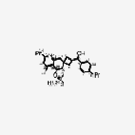 CC(C)c1ccc(C(O)C2CC3(Cc4nc(C(C)C)cc(I)c4[C@H](O[Si](C)(C)C(C)(C)C)C3)C2)cc1